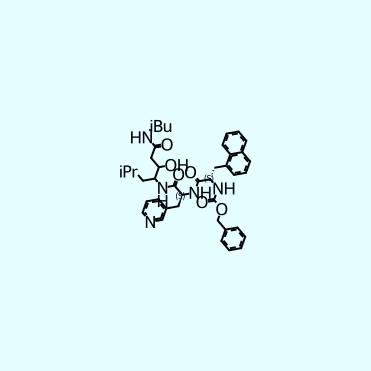 CCC(C)NC(=O)CC(O)C(CC(C)C)NC(=O)[C@H](Cc1cccnc1)NC(=O)[C@H](Cc1cccc2ccccc12)NC(=O)OCc1ccccc1